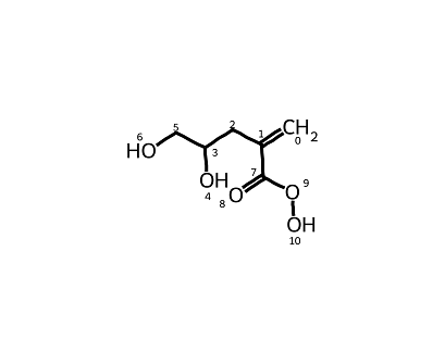 C=C(CC(O)CO)C(=O)OO